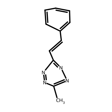 Cc1nnc(/C=C/c2ccccc2)nn1